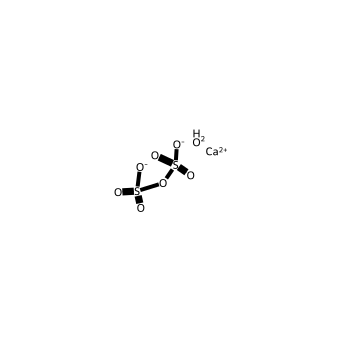 O.O=S(=O)([O-])OS(=O)(=O)[O-].[Ca+2]